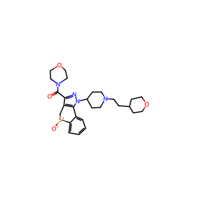 O=C(c1nn(C2CCN(CCC3CCOCC3)CC2)c2c1C[S@+]([O-])c1ccccc1-2)N1CCOCC1